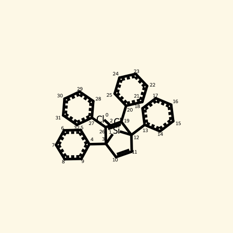 Cl[Si]1(Cl)C2(c3ccccc3)C=CC1(c1ccccc1)C(c1ccccc1)=C2c1ccccc1